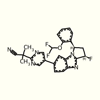 CC(C)(C#N)c1ncc(-c2ccc3nc4n(c3c2)[C@@H](c2ccccc2OC(F)F)C[C@H]4F)cn1